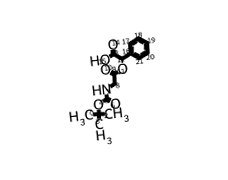 CC(C)(C)OC(=O)NCC(=O)O[C@H](C(=O)O)c1ccccc1